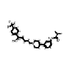 CC(C)C(=O)Nc1cccc(C2CCN(CCCCC(O)c3ccc(C(F)(F)F)cc3)CC2)c1